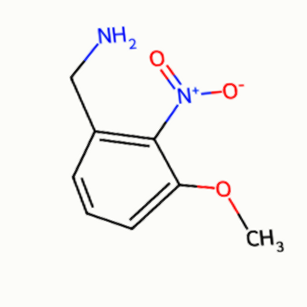 COc1cccc(CN)c1[N+](=O)[O-]